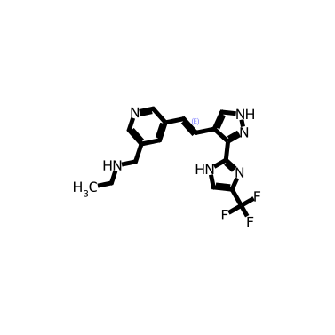 CCNCc1cncc(/C=C/c2c[nH]nc2-c2nc(C(F)(F)F)c[nH]2)c1